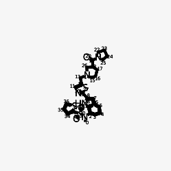 CN(c1cccc2cc(-c3ncc(CN4CCCC(C(=O)N5CCCC5)C4)s3)[nH]c12)S(=O)(=O)c1cccs1